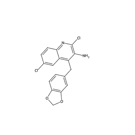 Nc1c(Cl)nc2ccc(Cl)cc2c1Cc1ccc2c(c1)OCO2